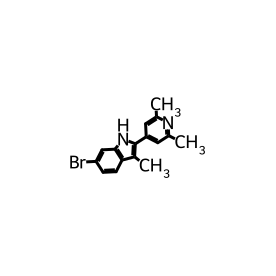 Cc1cc(-c2[nH]c3cc(Br)ccc3c2C)cc(C)n1